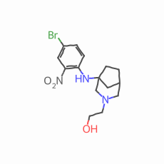 O=[N+]([O-])c1cc(Br)ccc1NC12CCC(CN(CCO)C1)C2